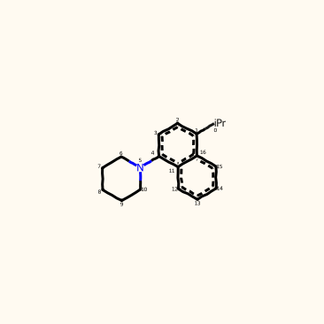 CC(C)c1ccc(N2CCCCC2)c2ccccc12